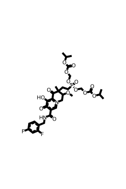 COC1Cn2cc(C(=O)NCc3ccc(F)cc3F)c(=O)c(O)c2C(=O)C1(C)CCP(=O)(OCOC(=O)OC(C)C)OCOC(=O)OC(C)C